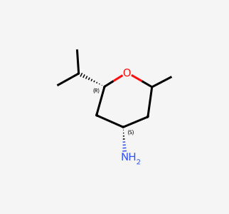 CC1C[C@H](N)C[C@H](C(C)C)O1